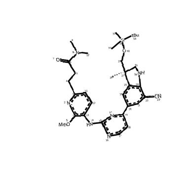 COc1nc(CCC(=O)N(C)C)ccc1Nc1nccc(-c2cc(C#N)c3c(c2)[C@@](C)(CO[Si](C)(C)C(C)(C)C)CN3)n1